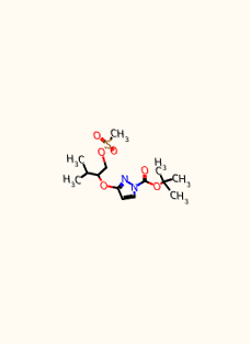 CC(C)C(COS(C)(=O)=O)Oc1ccn(C(=O)OC(C)(C)C)n1